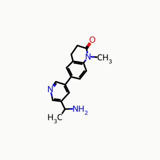 CC(N)c1cncc(-c2ccc3c(c2)CCC(=O)N3C)c1